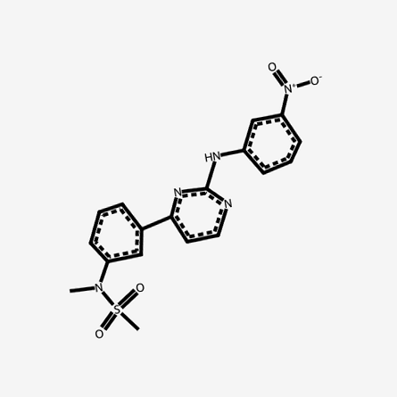 CN(c1cccc(-c2ccnc(Nc3cccc([N+](=O)[O-])c3)n2)c1)S(C)(=O)=O